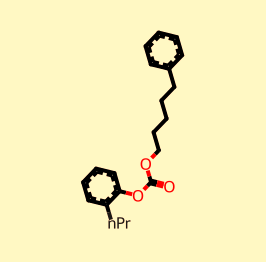 CCCc1ccccc1OC(=O)OCCCCCc1ccccc1